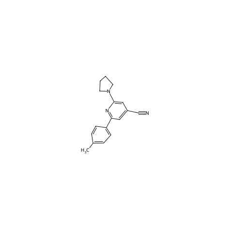 Cc1ccc(-c2cc(C#N)cc(N3CCCC3)n2)cc1